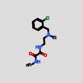 CCCNC(=O)C(=O)NCCN(CC)Cc1ccccc1Cl